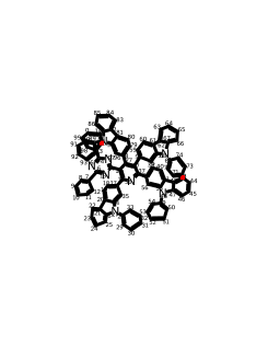 c1ccc(-c2nc(-c3ccccc3)nc(-c3c(-c4ccc5c6ccccc6n(-c6ccccc6)c5c4)nc(-c4ccc5c6ccccc6n(-c6ccccc6)c5c4)c(-c4ccc5c6ccccc6n(-c6ccccc6)c5c4)c3-c3ccc4c5ccccc5n(-c5ccccc5)c4c3)n2)cc1